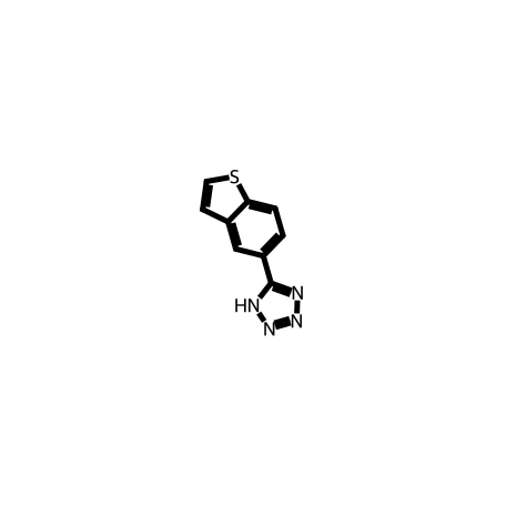 c1cc2cc(-c3nnn[nH]3)ccc2s1